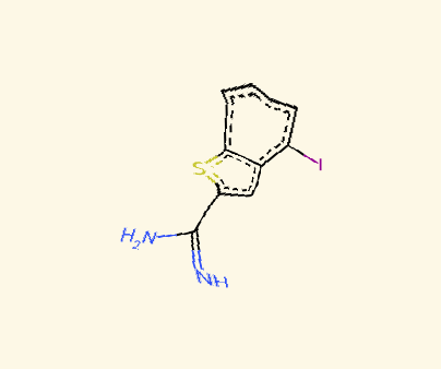 N=C(N)c1cc2c(I)cccc2s1